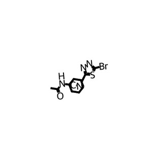 CC(=O)NC12CCC(CC1)N(c1nnc(Br)s1)C2